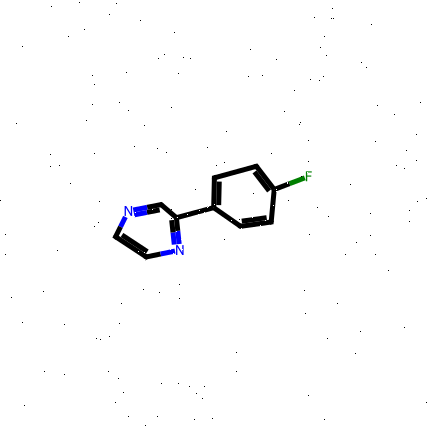 Fc1ccc(-c2cnc[c]n2)cc1